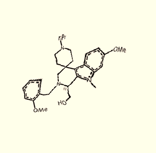 CCCN1CCC2(CC1)CN(Cc1ccccc1OC)[C@H](CO)c1c2c2ccc(OC)cc2n1C